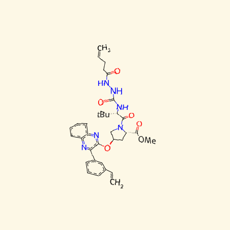 C=CCCC(=O)NNC(=O)N[C@H](C(=O)N1C[C@H](Oc2nc3ccccc3nc2-c2cccc(C=C)c2)C[C@H]1C(=O)OC)C(C)(C)C